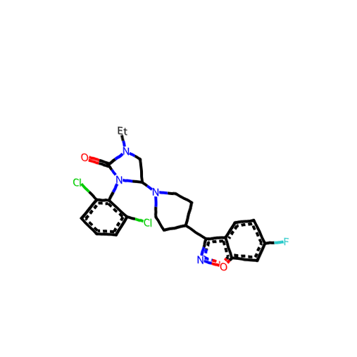 CCN1CC(N2CCC(c3noc4cc(F)ccc34)CC2)N(c2c(Cl)cccc2Cl)C1=O